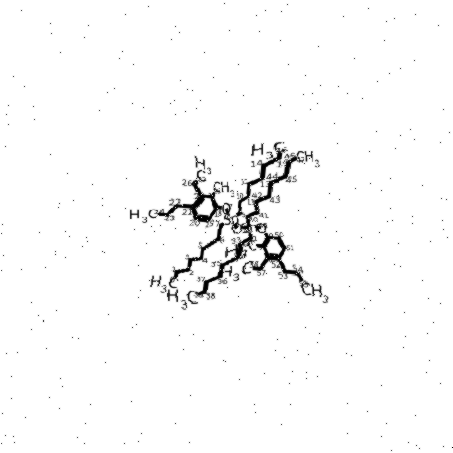 CCCCCCC[CH2][Sn]([CH2]CCCCCCC)([O]c1ccc(CCC)c(CC)c1C)[O][Sn]([CH2]CCCCCCC)([CH2]CCCCCCC)[O]c1ccc(CCC)c(CC)c1C